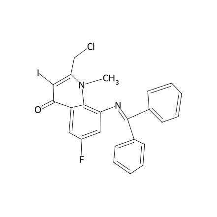 Cn1c(CCl)c(I)c(=O)c2cc(F)cc(N=C(c3ccccc3)c3ccccc3)c21